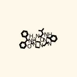 CC(C)[C@H](Nc1nc(CN2CCN(C(=O)NC(c3ccccc3)c3ccccc3)CC2)nc2ccccc12)C(N)=O